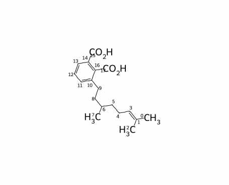 CC(C)=CCCC(C)CCc1cccc(C(=O)O)c1C(=O)O